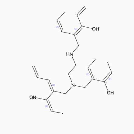 C=C/C=C(CN(CCNCC(/C=C\C)=C(\O)C=C)CC(=C/C)/C(O)=C\C)\C(=C/C)N=O